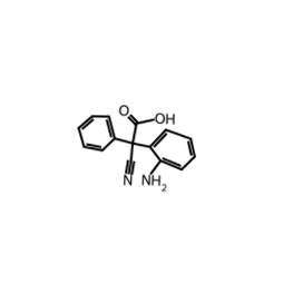 N#CC(C(=O)O)(c1ccccc1)c1ccccc1N